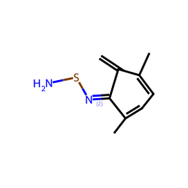 C=C1C(C)=CC=C(C)/C1=N/SN